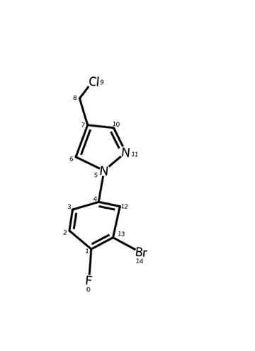 Fc1ccc(-n2cc(CCl)cn2)cc1Br